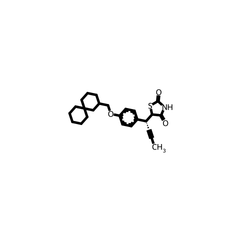 CC#C[C@H](c1ccc(OCC2CCCC3(CCCCC3)C2)cc1)C1SC(=O)NC1=O